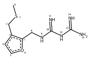 CSCc1ccoc1CNC(=N)NC(=N)N